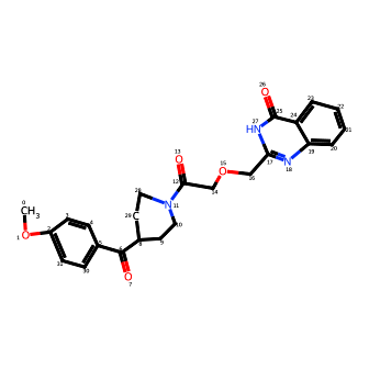 COc1ccc(C(=O)C2CCN(C(=O)COCc3nc4ccccc4c(=O)[nH]3)CC2)cc1